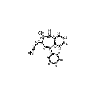 N#CSC1C=C(c2ccccc2)c2ccccc2NC1=O